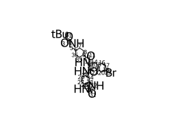 CC(C)(C)OC(=O)NCC1CCC(C(=O)N[C@@H](Cc2ccc(Br)cc2)C(=O)Nc2ccc3[nH]c(=O)[nH]c3c2)CC1